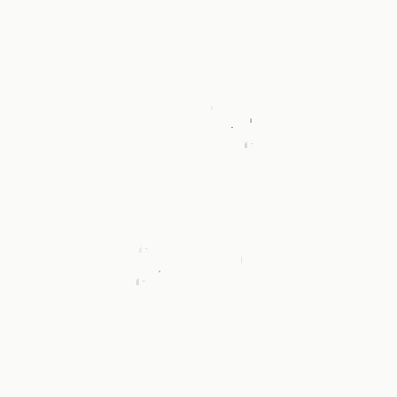 [2H]c1cc(O[Si](C(C)C)(C(C)C)C(C)C)cc2ccc(F)c(C#C[Si](C(C)C)(C(C)C)C(C)C)c12